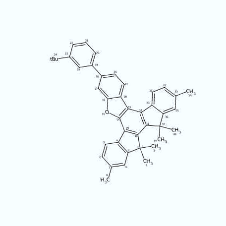 Cc1ccc2c(c1)C(C)(C)c1c3c(c4c(oc5cc(-c6cccc(C(C)(C)C)c6)ccc54)c1-2)-c1ccc(C)cc1C3(C)C